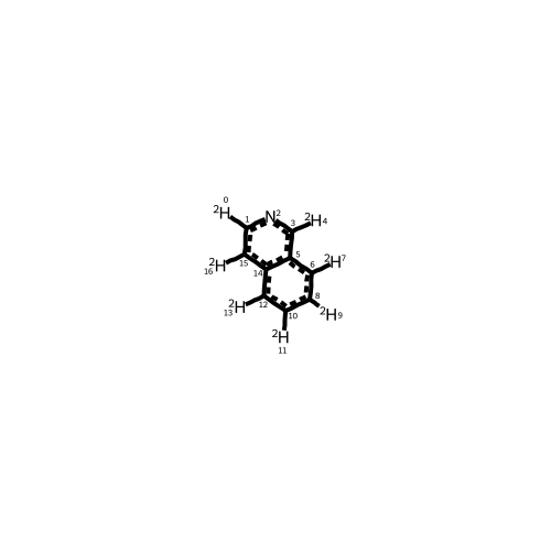 [2H]c1nc([2H])c2c([2H])c([2H])c([2H])c([2H])c2c1[2H]